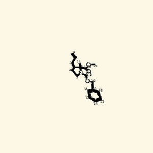 C=CCC1CCN(C(=O)OCc2ccccc2)C1(C)C(=O)OC